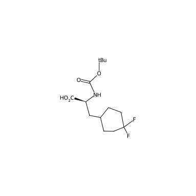 CC(C)(C)OC(=O)N[C@@H](CC1CCC(F)(F)CC1)C(=O)O